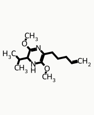 C=CCCCC1=C(OC)NC(C(C)C)C(OC)=N1